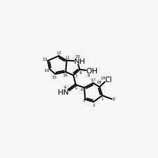 Cc1ccc(C(=N)c2c(O)[nH]c3ccccc23)cc1Cl